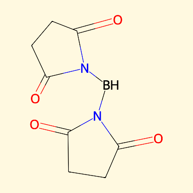 O=C1CCC(=O)N1BN1C(=O)CCC1=O